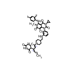 C=N/C=C(\C=C(/C)N1CCC(CNc2cccc(-n3c(=O)n(C4CC4)c(=O)c4c(Nc5ccc(I)cc5F)n(C)c(=O)c(C)c43)c2)CC1)C1CCC(=O)NC1=O